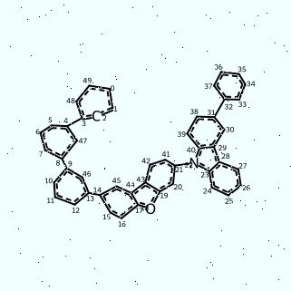 c1ccc(-c2cccc(-c3cccc(-c4ccc5oc6cc(-n7c8ccccc8c8cc(-c9ccccc9)ccc87)ccc6c5c4)c3)c2)cc1